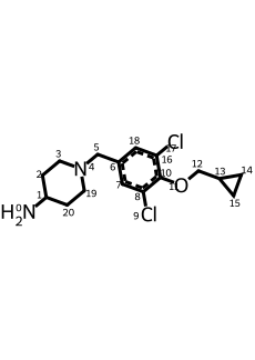 NC1CCN(Cc2cc(Cl)c(OCC3CC3)c(Cl)c2)CC1